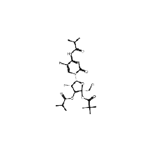 CC(C)C(=O)Nc1nc(=O)n([C@@H]2O[C@@](CCl)(OC(=O)C(C)(C)C)[C@@H](OC(=O)C(C)C)[C@@H]2F)cc1F